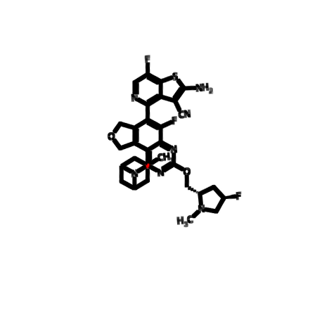 CN1CC2CC(C1)N2c1nc(OC[C@@H]2C[C@@H](F)CN2C)nc2c(F)c(-c3ncc(F)c4sc(N)c(C#N)c34)c3c(c12)COC3